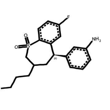 CCCCC1C[C@H](c2cccc(N)c2)c2cc(F)ccc2S(=O)(=O)C1